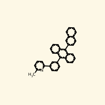 Cc1cccc(-c2cccc(-c3c4ccccc4c(-c4ccc5ccccc5c4)c4ccccc34)c2)n1